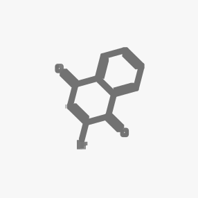 O=C1[C]=C(Br)C(=O)c2ccccc21